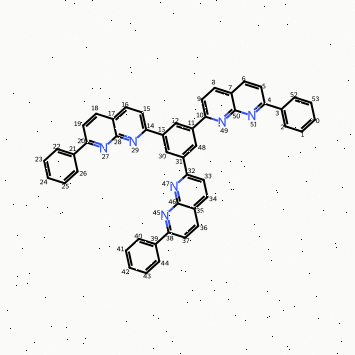 c1ccc(-c2ccc3ccc(-c4cc(-c5ccc6ccc(-c7ccccc7)nc6n5)cc(-c5ccc6ccc(-c7ccccc7)nc6n5)c4)nc3n2)cc1